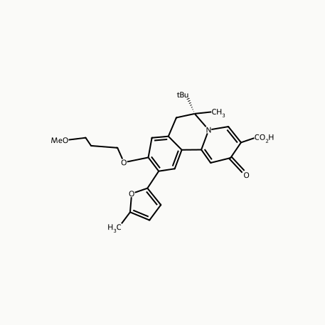 COCCCOc1cc2c(cc1-c1ccc(C)o1)-c1cc(=O)c(C(=O)O)cn1[C@@](C)(C(C)(C)C)C2